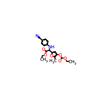 CCOC(=O)Oc1cc(C(Nc2ccc(C#N)cc2)C(=O)OCC)oc1C